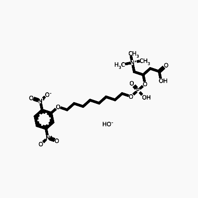 C[N+](C)(C)CC(CC(=O)O)OP(=O)(O)OCCCCCCCCOc1cc([N+](=O)[O-])ccc1[N+](=O)[O-].[OH-]